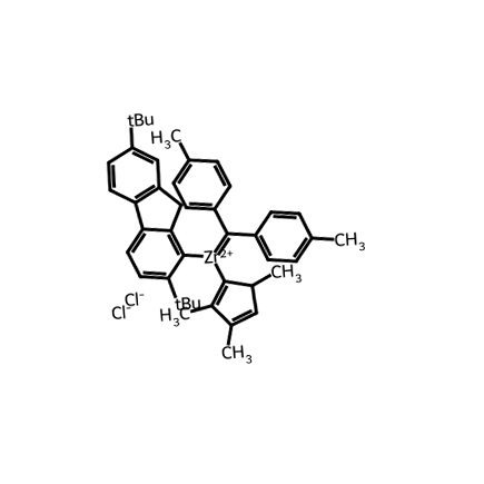 CC1=CC(C)[C]([Zr+2](=[C](c2ccc(C)cc2)c2ccc(C)cc2)[c]2c(C(C)(C)C)ccc3c2Cc2cc(C(C)(C)C)ccc2-3)=C1C.[Cl-].[Cl-]